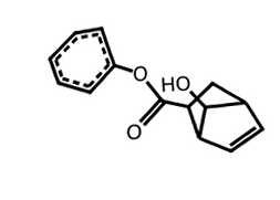 O=C(Oc1ccccc1)C1CC2C=CC1C2O